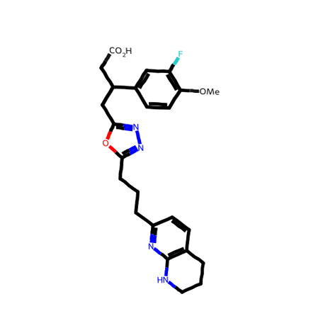 COc1ccc(C(CC(=O)O)Cc2nnc(CCCc3ccc4c(n3)NCCC4)o2)cc1F